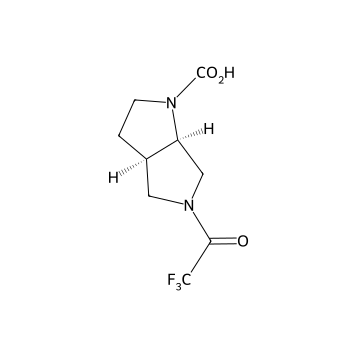 O=C(O)N1CC[C@@H]2CN(C(=O)C(F)(F)F)C[C@@H]21